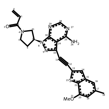 C=CC(=O)N1CC[C@H](n2nc(C#Cc3cc4cc(C)cc(OC)c4s3)c3c(N)ncnc32)C1